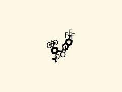 CC(C)Oc1ccc(S(C)(=O)=O)cc1C(=O)N1Cc2ccc(C(F)(F)F)cc2C1